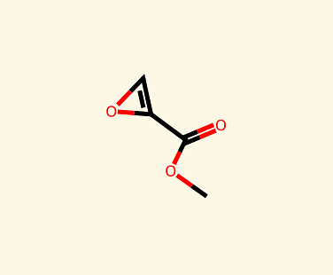 COC(=O)C1=CO1